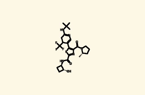 C[C@H]1CCCN1C(=O)c1nc(C(=O)N[C@@H]2CC[C@H]2O)sc1C1=CN=C(NC(C)(C)C)CC1C(F)(F)F